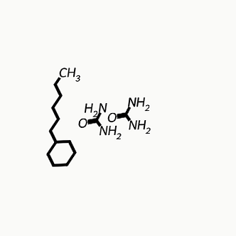 CCCCCCC1CCCCC1.NC(N)=O.NC(N)=O